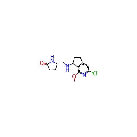 COc1nc(Cl)cc2c1C(NC[C@@H]1CCC(=O)N1)CC2